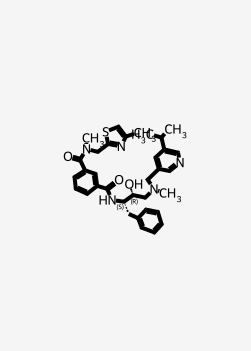 Cc1csc(CN(C)C(=O)c2cccc(C(=O)N[C@@H](Cc3ccccc3)[C@H](O)CN(C)Cc3cncc(C(C)C)c3)c2)n1